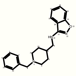 c1ccc(CN2CCC(CNc3noc4ccccc34)CC2)cc1